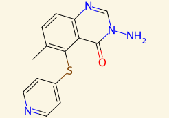 Cc1ccc2ncn(N)c(=O)c2c1Sc1ccncc1